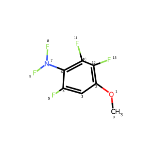 COc1cc(F)c(N(F)F)c(F)c1F